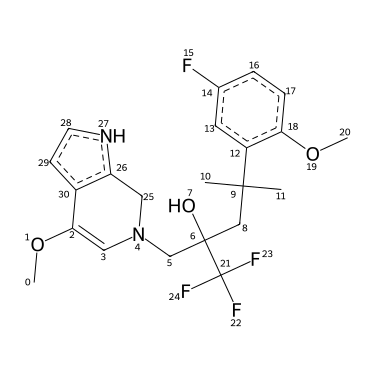 COC1=CN(CC(O)(CC(C)(C)c2cc(F)ccc2OC)C(F)(F)F)Cc2[nH]ccc21